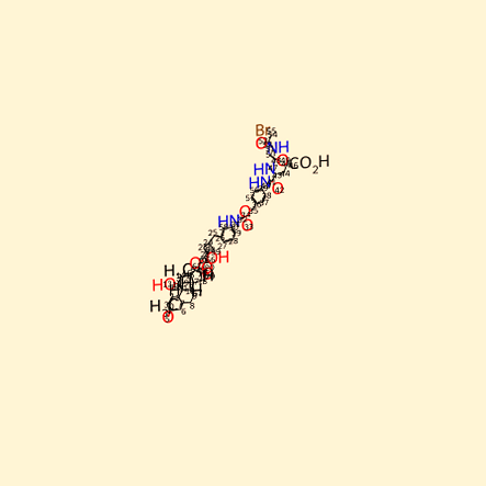 C[C@]12C=CC(=O)C=C1CC[C@@H]1[C@@H]2[C@@H](O)C[C@@]2(C)[C@H]1C[C@H]1O[C@H](C34CC(Cc5cccc(NC(=O)OCc6ccc(NC(=O)[C@H](CCC(=O)O)NC(=O)CNC(=O)CBr)cc6)c5)(C3)C4)O[C@]12C(=O)CO